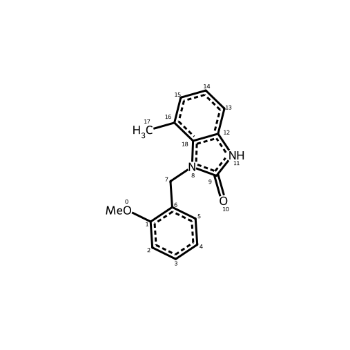 COc1ccccc1Cn1c(=O)[nH]c2cccc(C)c21